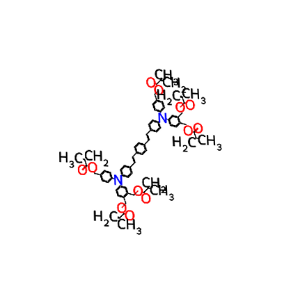 C=C(C)C(=O)OCc1ccc(N(c2ccc(/C=C/c3ccc(/C=C/c4ccc(N(c5ccc(COC(=O)C(=C)C)cc5)c5ccc(COC(=O)C(=C)C)c(COC(=O)C(=C)C)c5)cc4)cc3)cc2)c2ccc(COC(=O)C(=C)C)c(COC(=O)C(=C)C)c2)cc1